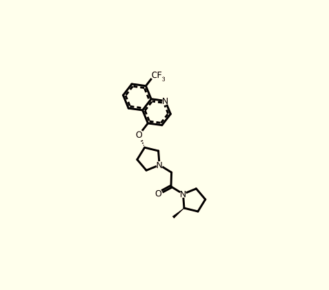 C[C@@H]1CCCN1C(=O)CN1CC[C@H](Oc2ccnc3c(C(F)(F)F)cccc23)C1